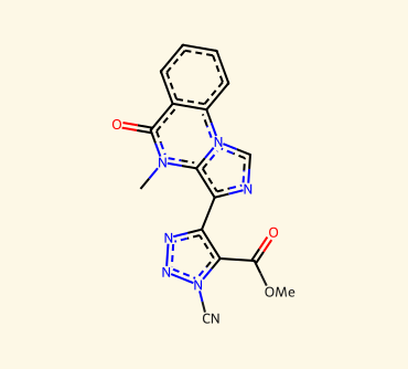 COC(=O)c1c(-c2ncn3c4ccccc4c(=O)n(C)c23)nnn1C#N